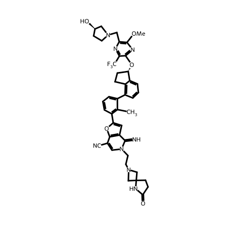 COc1nc(O[C@H]2CCc3c(-c4cccc(-c5cc6c(=N)n(CCN7CC8(CCC(=O)N8)C7)cc(C#N)c6o5)c4C)cccc32)c(C(F)(F)F)nc1CN1CC[C@@H](O)C1